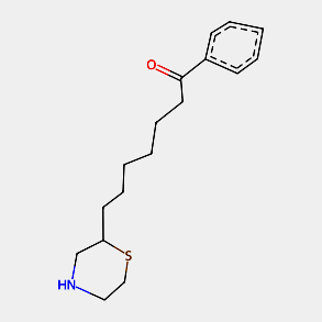 O=C(CCCCCCC1CNCCS1)c1ccccc1